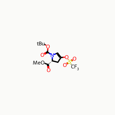 COC(=O)[C@H]1CC(OS(=O)(=O)C(F)(F)F)=CN1C(=O)OC(C)(C)C